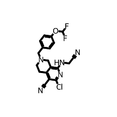 N#CCNc1nc(Cl)c(C#N)c2c1CN(Cc1ccc(OC(F)F)cc1)CC2